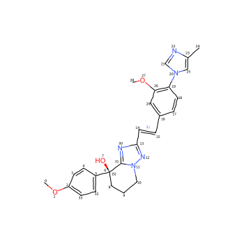 COc1ccc([C@@]2(O)CCCn3nc(/C=C/c4ccc(-n5cnc(C)c5)c(OC)c4)nc32)cc1